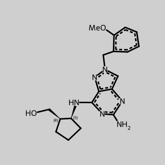 COc1ccccc1Cn1cc2nc(N)nc(N[C@H]3CCC[C@H]3CO)c2n1